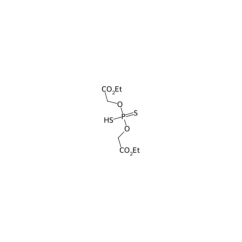 CCOC(=O)COP(=S)(S)OCC(=O)OCC